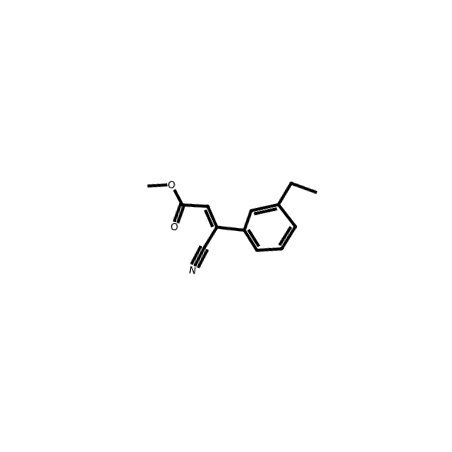 CCc1cccc(C(C#N)=CC(=O)OC)c1